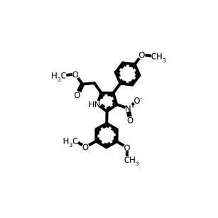 COC(=O)Cc1[nH]c(-c2cc(OC)cc(OC)c2)c([N+](=O)[O-])c1-c1ccc(OC)cc1